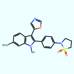 CCCn1c(-c2ccc(N3CCCS3(=O)=O)cc2)c(-c2cnco2)c2ccc(OC)cc21